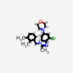 Cc1cccc(Cn2c(C)nc3c(Br)cc(N4CCOCC4)cc32)c1C